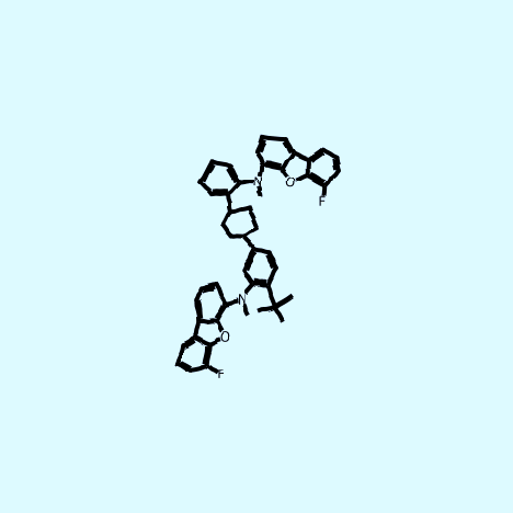 CN(c1ccccc1C1CCC(c2ccc(C(C)(C)C)c(N(C)c3cccc4c3oc3c(F)cccc34)c2)CC1)c1cccc2c1oc1c(F)cccc12